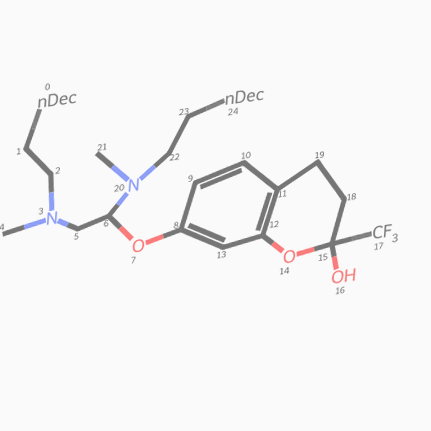 CCCCCCCCCCCCN(C)CC(Oc1ccc2c(c1)OC(O)(C(F)(F)F)CC2)N(C)CCCCCCCCCCCC